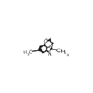 Cc1cc2c3c(c1)nc(C)n3CCO2